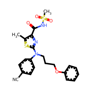 Cc1sc(N(CCCOc2ccccc2)c2ccc(C#N)cc2)nc1C(=O)NS(C)(=O)=O